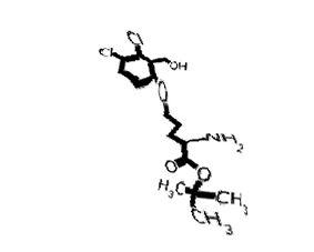 CC(C)(C)OC(=O)[C@H](N)CCCOc1ccc(Cl)c(Cl)c1CO